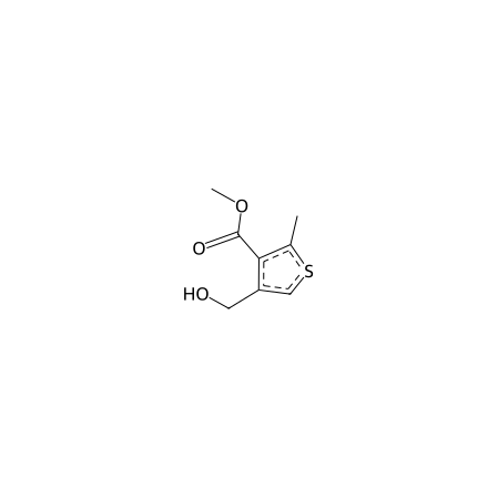 COC(=O)c1c(CO)csc1C